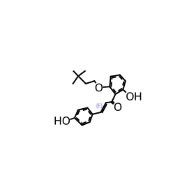 CC(C)(C)CCOc1cccc(O)c1C(=O)/C=C/c1ccc(O)cc1